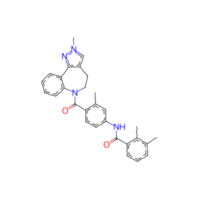 Cc1cc(NC(=O)c2cccc(C)c2C)ccc1C(=O)N1CCc2cn(C)nc2-c2ccccc21